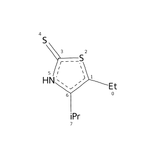 CCc1sc(=S)[nH]c1C(C)C